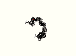 Nc1nnc(-c2ccccc2O)cc1N1CC(Oc2cccc(CN3CCN(C(=O)CCC4CCN(c5ccc6c(c5)C(=O)N(C5CCC(=O)NC5=O)C6=O)CC4)CC3)c2)C1